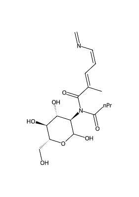 C=N/C=C\C=C(/C)C(=O)N(C(=O)CCC)[C@H]1C(O)O[C@H](CO)[C@@H](O)[C@@H]1O